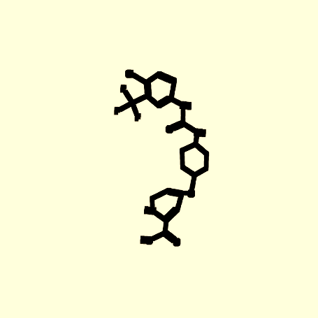 O=C(Nc1ccc(Cl)c(C(F)(F)F)c1)NC1CCC(OC2=CCNC(C(=O)O)=C2)CC1